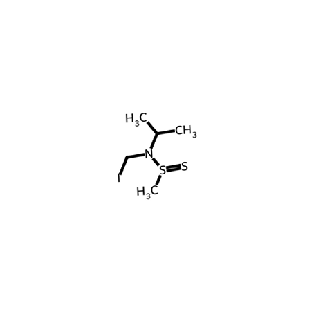 CC(C)N(CI)S(C)=S